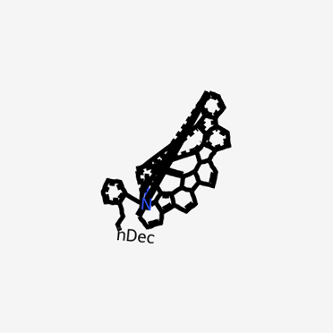 CCCCCCCCCCCCc1ccccc1C1N(C)CC23C4=C5C=CC6C7C5=C2c2c5c8c9c%10c(ccc%11c%12ccc%13c%14c(c2c8c(c%10%11)c%14%12)C13C=%13C=C4)C1C=CC6C(C=57)C91